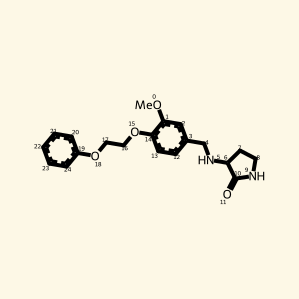 COc1cc(CNC2CCNC2=O)ccc1OCCOc1ccccc1